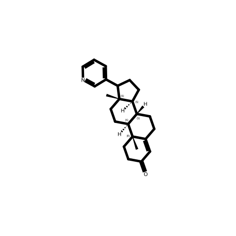 C[C@]12CCC(=O)C=C1CC[C@@H]1[C@@H]2CC[C@]2(C)C(c3cccnc3)CC[C@@H]12